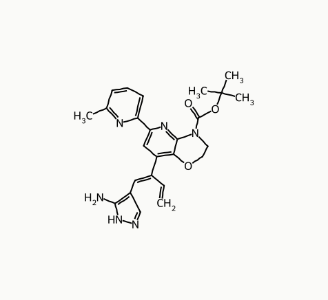 C=C/C(=C\c1cn[nH]c1N)c1cc(-c2cccc(C)n2)nc2c1OCCN2C(=O)OC(C)(C)C